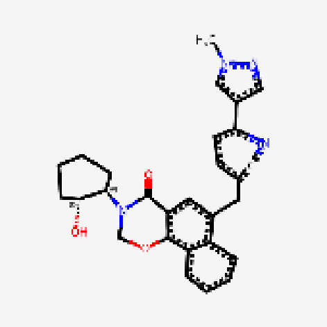 Cn1cc(-c2ccc(Cc3cc4c(c5ccccc35)OCN([C@@H]3CCCC[C@H]3O)C4=O)cn2)cn1